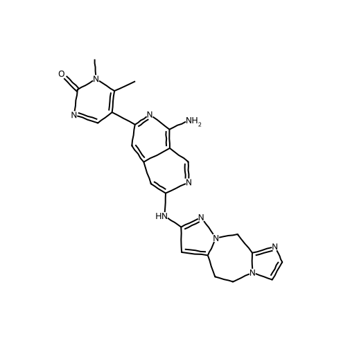 Cc1c(-c2cc3cc(Nc4cc5n(n4)Cc4nccn4CC5)ncc3c(N)n2)cnc(=O)n1C